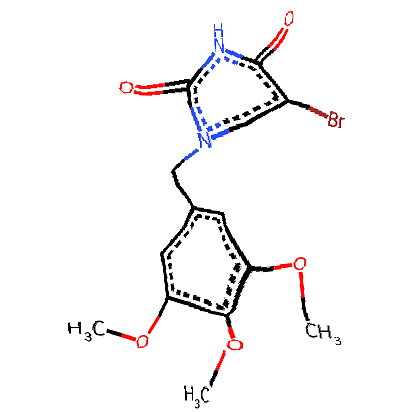 COc1cc(Cn2cc(Br)c(=O)[nH]c2=O)cc(OC)c1OC